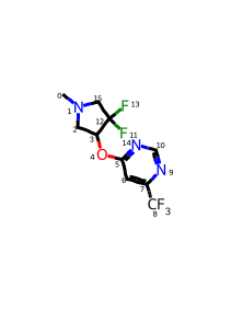 CN1CC(Oc2cc(C(F)(F)F)ncn2)C(F)(F)C1